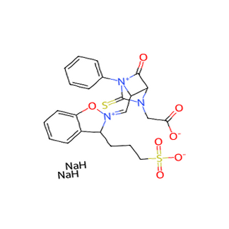 O=C([O-])CN1C(=S)[N+]2(c3ccccc3)C(=O)C1C2C=[N+]1Oc2ccccc2C1CCCS(=O)(=O)[O-].[NaH].[NaH]